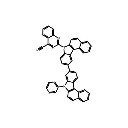 N#Cc1nc(-n2c3ccc(-c4ccc5c6c7ccccc7ccc6n(-c6ccccc6)c5c4)cc3c3c4ccccc4ccc32)nc2ccccc12